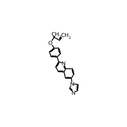 C=CC(=C)Oc1ccc(-c2ccc3cc(-n4ccnc4)ccc3n2)cc1